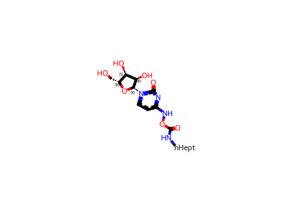 CCCCCCCNC(=O)ONc1ccn([C@@H]2O[C@H](CO)[C@@H](O)[C@H]2O)c(=O)n1